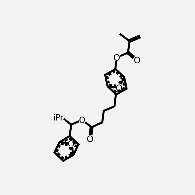 C=C(C)C(=O)Oc1cc2oc1cc2CCCC(=O)OC(c1cc2ccc1o2)C(C)C